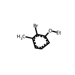 CCOc1cccc(C)c1Br